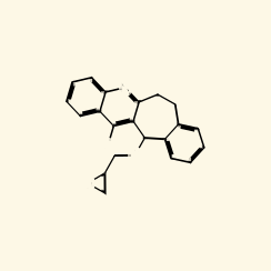 Clc1c2c(nc3ccccc13)CCc1ccccc1C2OCC1CO1